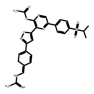 CC(C)S(=O)(=O)c1ccc(-c2cnc(OC(N)=O)c(-c3cc(C4=CCC(=CNC(=N)N)C=C4)no3)n2)cc1